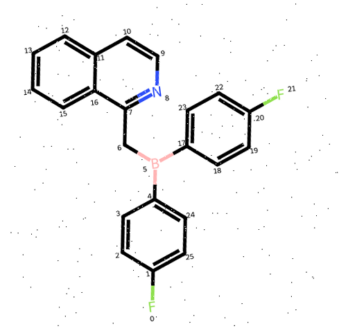 Fc1ccc(B(Cc2nccc3ccccc23)c2ccc(F)cc2)cc1